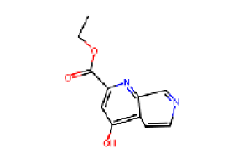 CCOC(=O)c1cc(O)c2ccncc2n1